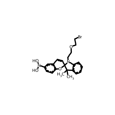 CC1(C)c2ccccc2N(CCOCCBr)C12C=Cc1cc(N(O)O)ccc1O2